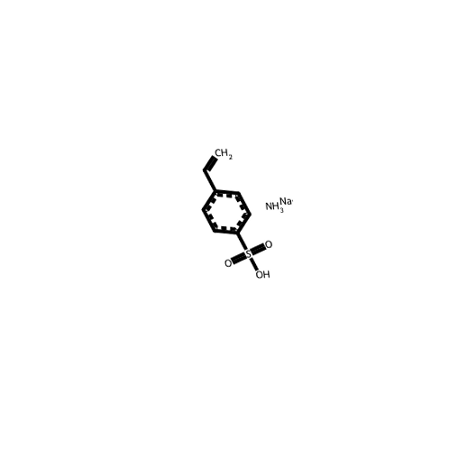 C=Cc1ccc(S(=O)(=O)O)cc1.N.[Na]